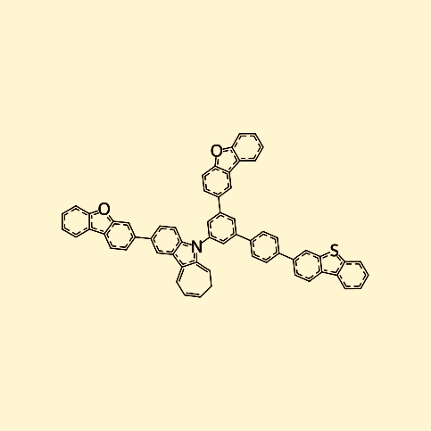 C1=CCC=c2c(c3cc(-c4ccc5c(c4)oc4ccccc45)ccc3n2-c2cc(-c3ccc(-c4ccc5c(c4)sc4ccccc45)cc3)cc(-c3ccc4oc5ccccc5c4c3)c2)=C1